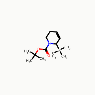 CC(C)(C)OC(=O)N1CCC=C[CH]1[Sn]([CH3])([CH3])[CH3]